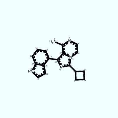 Nc1nccn2c(C3CCC3)nc(-c3cccc4[nH]ccc34)c12